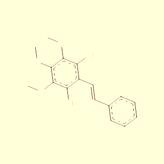 COc1c(O)c(C=Cc2ccccc2)c(O)c(OC)c1OC